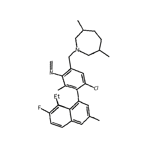 C=Nc1c(CN2CC(C)CCC(C)C2)cc(Cl)c(-c2cc(C)cc3ccc(F)c(CC)c23)c1C